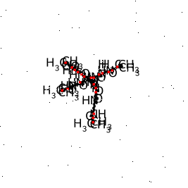 CC(C)(C)/C=C/C(=O)NCCCCCCNC(=O)CCCC(=O)N1CCN(c2nc(NCCC(=O)NCCCNC(=O)CCCCC(C)(C)C)nc(N(CCC(=O)NCCCNC(=O)CCCCC(C)(C)C)CCC(=O)NCCCNC(=O)CCCCC(C)(C)C)n2)CC1